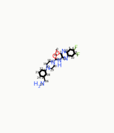 COc1nc2cc(F)c(F)cc2nc1NC(=O)N1CCN(c2cccc(CN)c2)CC1